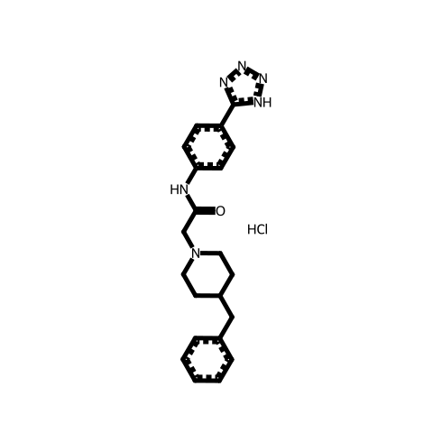 Cl.O=C(CN1CCC(Cc2ccccc2)CC1)Nc1ccc(-c2nnn[nH]2)cc1